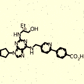 CC[C@H](CO)Nc1nc(NCc2ccc(-c3ccc(C(=O)O)cc3)nc2)c2ncn(C3CCCC3)c2n1